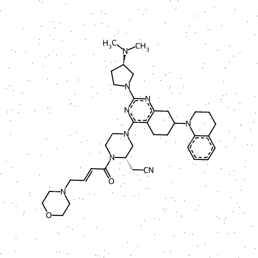 CN(C)[C@@H]1CCN(c2nc3c(c(N4CCN(C(=O)/C=C/CN5CCOCC5)[C@@H](CC#N)C4)n2)CCC(N2CCCc4ccccc42)C3)C1